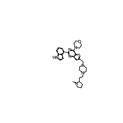 CN1CCCC1CCN1CCN(Cc2cc3nc(-c4cccc5[nH]ccc45)nc(N4CCOCC4)c3s2)CC1